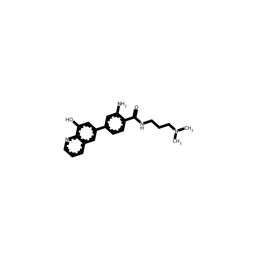 CN(C)CCCNC(=O)c1ccc(-c2cc(O)c3ncccc3c2)cc1N